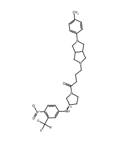 Cc1ccc(N2CC3CN(CCCC(=O)N4CC[C@@H](Nc5ccc([N+](=O)[O-])c(C(F)(F)F)c5)C4)CC3C2)cc1